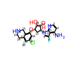 Nc1ccnc2c1c(F)cn2[C@@H]1C[C@H](Oc2cc(Cl)c(F)c3c2CNCC3)[C@@H](O)[C@H]1O